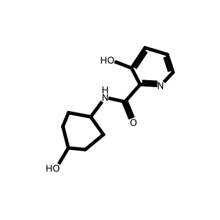 O=C(NC1CCC(O)CC1)c1ncccc1O